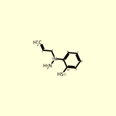 C=CCN(N)c1ccccc1S